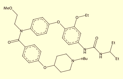 CCCCN1CCC(Oc2ccc(C(=O)N(CCOC)c3ccc(Oc4ccc(NC(=O)NC(CC)CC)cc4OCC)cc3)cc2)CC1